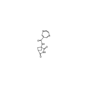 O=C(NC12CC(C1)C(=O)NC2=O)C1=CN=C=CN=C1